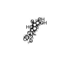 COCCN(C(=O)N1CCOCC1)C(C)C1CC[C@@]2(O)C3=CC(=O)C4CC(O)C(O)CC4(C)C3CCC12C